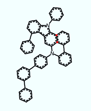 c1ccc(-c2cccc(-c3ccc(N(c4ccc5c(c4)c4c(-c6ccccc6)cccc4n5-c4ccccc4)c4ccccc4-c4ccccc4)cc3)c2)cc1